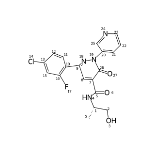 C[C@@H](CO)NC(=O)c1cc(-c2ccc(Cl)cc2F)nn(-c2cccnc2)c1=O